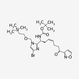 CC(C)(C)OC(=O)N[C@@H](C/C=C\CCC(=O)c1ccon1)c1nc(Br)cn1COCC[Si](C)(C)C